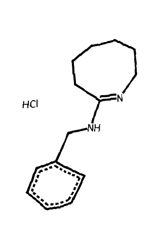 Cl.c1ccc(CNC2=NCCCCCC2)cc1